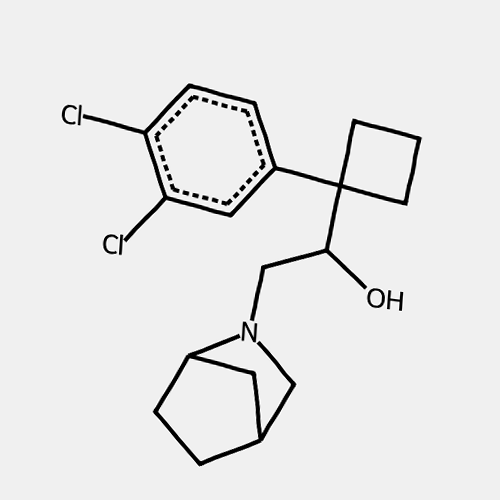 OC(CN1CC2CCC1C2)C1(c2ccc(Cl)c(Cl)c2)CCC1